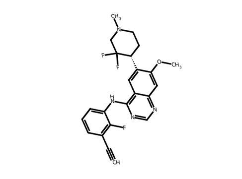 C#Cc1cccc(Nc2ncnc3cc(OC)c([C@H]4CCN(C)CC4(F)F)cc23)c1F